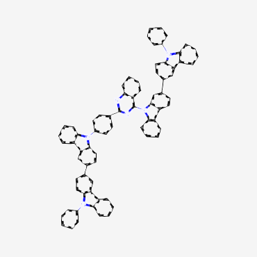 c1ccc(-n2c3ccccc3c3cc(-c4ccc5c(c4)c4ccccc4n5-c4ccc(-c5nc(-n6c7ccccc7c7ccc(-c8ccc9c(c8)c8ccccc8n9-c8ccccc8)cc76)c6ccccc6n5)cc4)ccc32)cc1